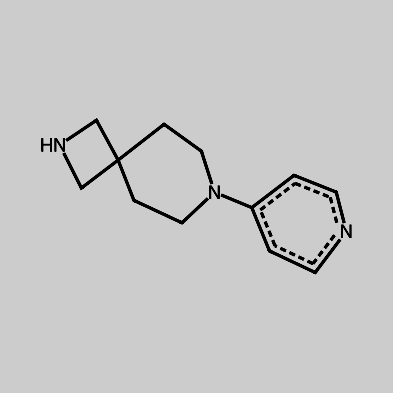 c1cc(N2CCC3(CC2)CNC3)ccn1